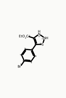 CCOC(=O)C1=C(c2ccc(Br)cc2)SNN1